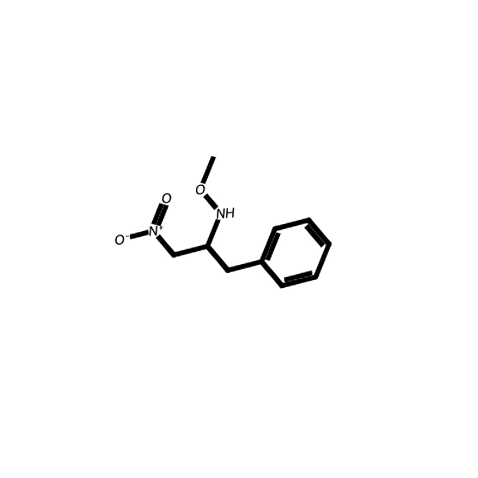 CONC(Cc1ccccc1)C[N+](=O)[O-]